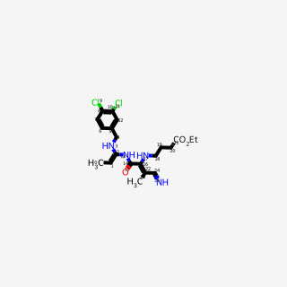 C/C=C(\NCc1ccc(Cl)c(Cl)c1)NC(=O)/C(NCCCC(=O)OCC)=C(\C)C=N